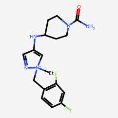 CC[N+]1(Cc2ccc(F)cc2F)C=C(NC2CCN(C(N)=O)CC2)C=N1